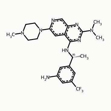 C[C@@H](Nc1nc(N(C)C)nc2cnc(N3CCN(C)CC3)cc12)c1cc(N)cc(C(F)(F)F)c1